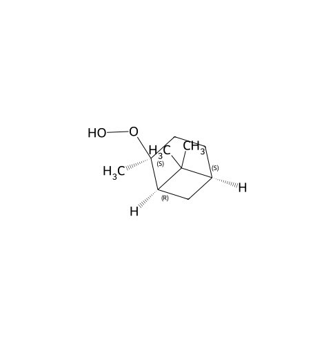 CC1(C)[C@H]2CC[C@](C)(OO)[C@@H]1C2